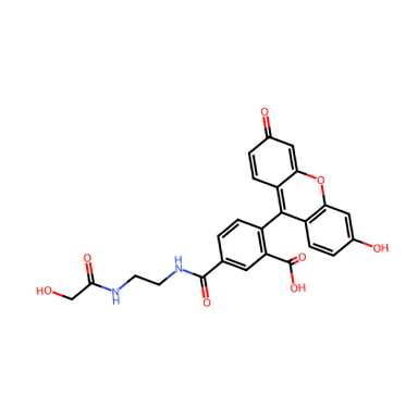 O=C(CO)NCCNC(=O)c1ccc(-c2c3ccc(=O)cc-3oc3cc(O)ccc23)c(C(=O)O)c1